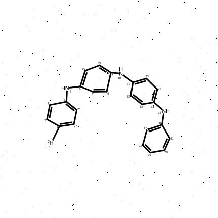 [2H]c1ccc(Nc2ccc(Nc3ccc(Nc4ccccc4)cc3)cc2)cc1